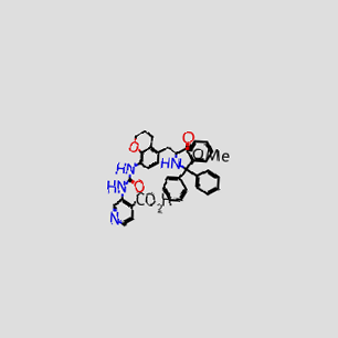 COC(=O)[C@H](Cc1ccc(NC(=O)Nc2cnccc2C(=O)O)c2c1CCCO2)NC(c1ccccc1)(c1ccccc1)c1ccccc1